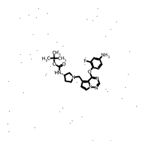 CC(C)(C)OC(=O)N[C@H]1CCN(Cc2ccn3ncnc(Oc4ccc(N)cc4F)c23)C1